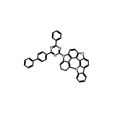 C1=c2c3c(n4c5ccccc5c5ccc6oc7ccc(c3c7c6c54)n2-c2nc(-c3ccccc3)nc(-c3ccc(-c4ccccc4)cc3)n2)CC1